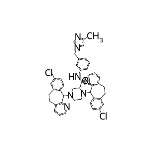 Cc1cn(Cc2cccc(NC(=O)C3CN(C4c5ccc(Cl)cc5CCc5cccnc54)CCN3C3c4ccc(Cl)cc4CCc4cccnc43)c2)cn1